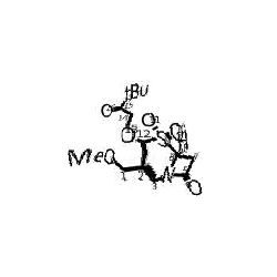 COCC1=CN2C(=O)C[C@H]2S(=O)(=O)C1OCC(=O)C(C)(C)C